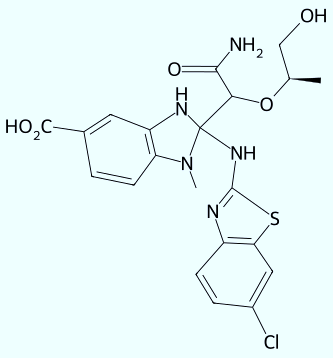 C[C@H](CO)OC(C(N)=O)C1(Nc2nc3ccc(Cl)cc3s2)Nc2cc(C(=O)O)ccc2N1C